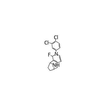 FC1C2=C(C=CN1c1ccc(Cl)c(Cl)c1)CC1CCC2N1